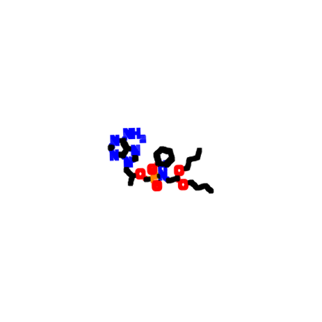 CCCCOC(CNP(=O)(COC(C)Cn1cnc2c(N)ncnc21)Oc1ccccc1)OCCCC